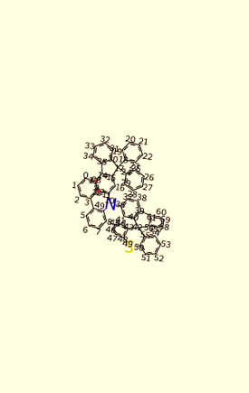 c1ccc(-c2ccccc2N(c2ccc3c(c2)C(c2ccccc2)(c2ccccc2)c2ccccc2-3)c2ccc3c(c2)C2(c4ccccc4Sc4ccccc42)c2ccccc2-3)cc1